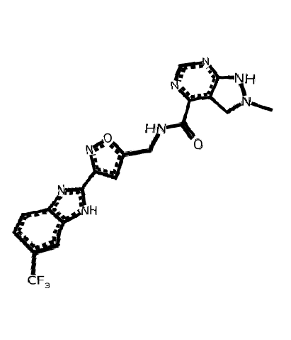 CN1Cc2c(ncnc2C(=O)NCc2cc(-c3nc4ccc(C(F)(F)F)cc4[nH]3)no2)N1